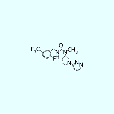 CN(C(=O)NCc1cc(C(F)(F)F)ccc1F)[C@@H]1CCCN(c2cccnn2)C1